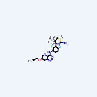 C#CCOc1cnc2c(Nc3ccc(F)c([C@@]4(CF)N=C(N)SC(C)(C)C4(C)C)c3)ncnc2c1